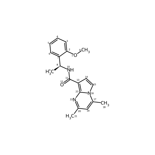 COc1ccccc1[C@H](C)NC(=O)c1ccn2c(C)cc(C)nc12